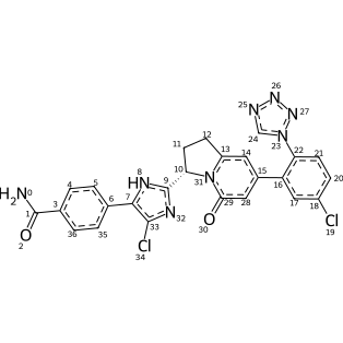 NC(=O)c1ccc(-c2[nH]c([C@@H]3CCc4cc(-c5cc(Cl)ccc5-n5cnnn5)cc(=O)n43)nc2Cl)cc1